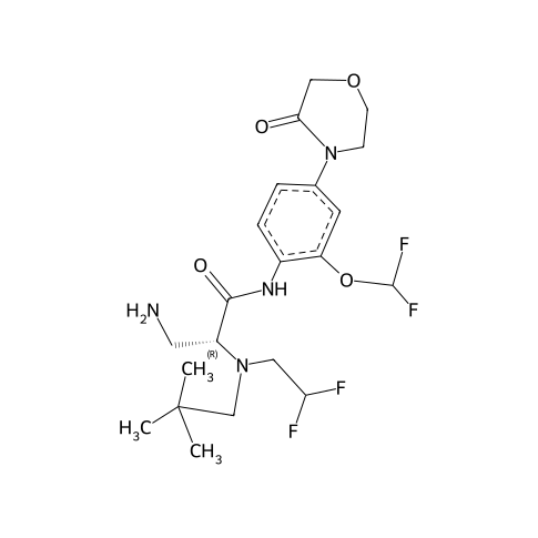 CC(C)(C)CN(CC(F)F)[C@H](CN)C(=O)Nc1ccc(N2CCOCC2=O)cc1OC(F)F